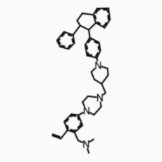 C=Cc1ccc(N2CCN(CC3CCN(c4ccc(C5c6ccccc6CCC5c5ccccc5)cc4)CC3)CC2)cc1CN(C)C